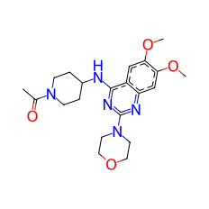 COc1cc2nc(N3CCOCC3)nc(NC3CCN(C(C)=O)CC3)c2cc1OC